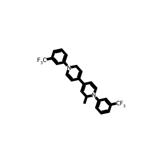 CC1C=C(C2=CCN(c3cccc(C(F)(F)F)c3)C=C2)C=CN1c1cccc(C(F)(F)F)c1